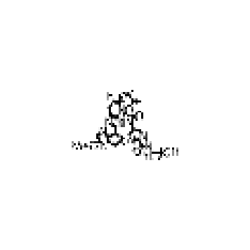 COc1cnc2c(-c3nc4cc(F)c(O[C@@H](C)[C@@H](C)OC(=O)Nc5cnc(C(=O)NCC(C)(C)O)nc5)nc4s3)cc(C)cc2n1